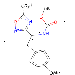 COc1ccc(CC(NC(=O)OC(C)(C)C)c2noc(C(=O)O)n2)cc1